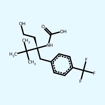 CC(C)(C)[C@@](CCO)(Cc1ccc(C(F)(F)F)cc1)NC(=O)O